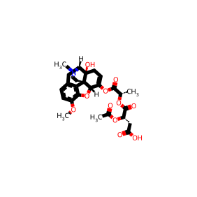 COc1ccc2c3c1O[C@H]1C(OC(=O)[C@H](C)OC(=O)[C@H](CC(=O)O)OC(C)=O)=CC[C@@]4(O)[C@@H](C2)N(C)CC[C@]314